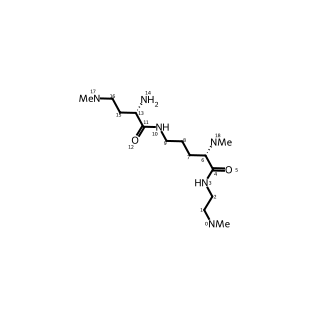 CNCCNC(=O)[C@H](CCCNC(=O)[C@@H](N)CCNC)NC